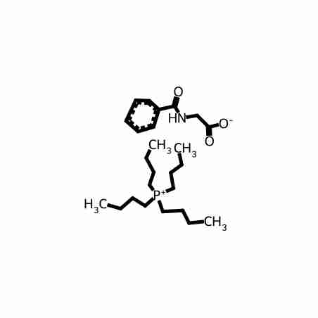 CCCC[P+](CCCC)(CCCC)CCCC.O=C([O-])CNC(=O)c1ccccc1